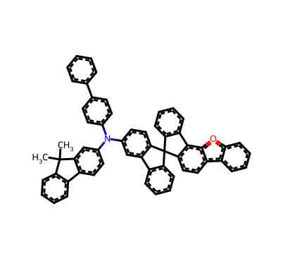 CC1(C)c2ccccc2-c2ccc(N(c3ccc(-c4ccccc4)cc3)c3ccc4c(c3)-c3ccccc3C43c4ccccc4-c4c3ccc3c4oc4ccccc43)cc21